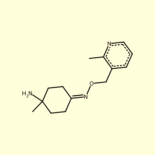 Cc1ncccc1CON=C1CCC(C)(N)CC1